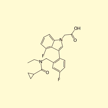 CCN(Cc1cc(F)ccc1-c1cn(CC(=O)O)c2cccc(F)c12)C(=O)C1CC1